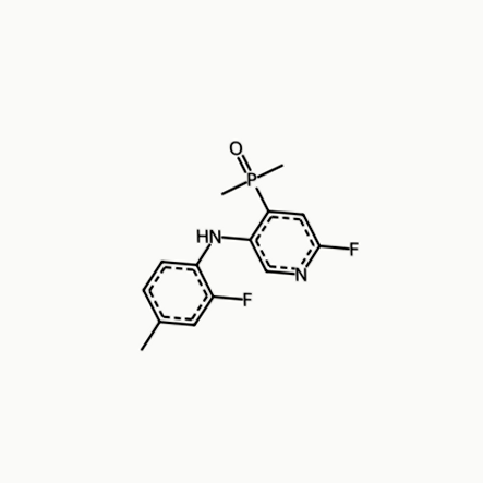 Cc1ccc(Nc2cnc(F)cc2P(C)(C)=O)c(F)c1